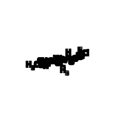 CC(C)Oc1ccc(OCc2nnc(C3(C)C=C(NC(=O)COc4ccc(Cl)c(F)c4)C3)o2)cn1